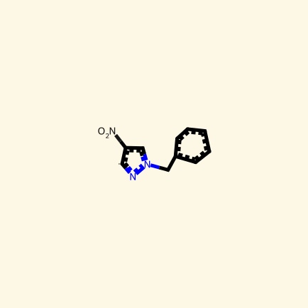 O=[N+]([O-])c1[c]nn(Cc2ccccc2)c1